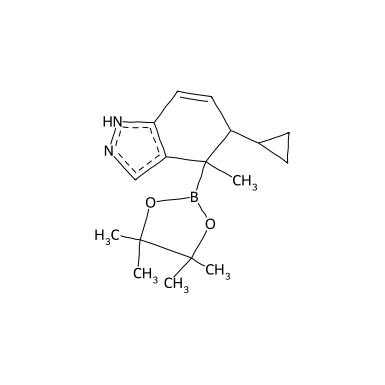 CC1(B2OC(C)(C)C(C)(C)O2)c2cn[nH]c2C=CC1C1CC1